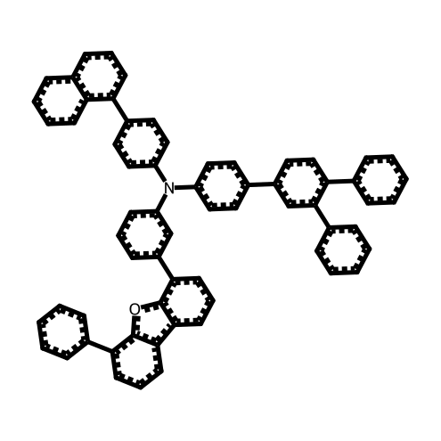 c1ccc(-c2ccc(-c3ccc(N(c4ccc(-c5cccc6ccccc56)cc4)c4cccc(-c5cccc6c5oc5c(-c7ccccc7)cccc56)c4)cc3)cc2-c2ccccc2)cc1